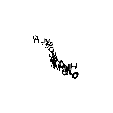 Nc1ncnc2c1c(-c1ccc(NC(=O)CCc3ccccc3)cc1)cn2C1CCC(C2OCC(N)CO2)CC1